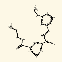 COc1cccc(CNC(=O)c2cc(C(=O)NCCO)ncn2)c1